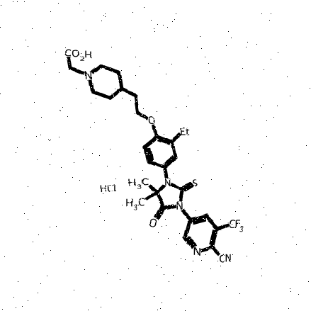 CCc1cc(N2C(=S)N(c3cnc(C#N)c(C(F)(F)F)c3)C(=O)C2(C)C)ccc1OCCC1CCN(CC(=O)O)CC1.Cl